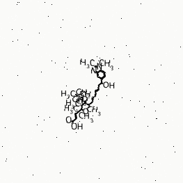 Cc1nc2cc([C@@H](O)C/C=C/CCC[C@H](C)[C@H](O[Si](C)(C)C(C)(C)C)[C@@H](C)C(=O)C(C)(C)/C=C/C(=O)O)ccc2n1C